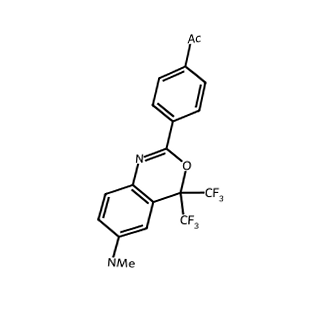 CNc1ccc2c(c1)C(C(F)(F)F)(C(F)(F)F)OC(c1ccc(C(C)=O)cc1)=N2